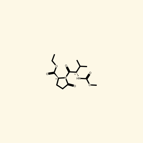 CCOC(=O)[C@@H]1CCC(=O)N1C(=O)[C@@H](NC(=O)OC)C(C)C